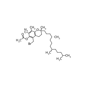 CC(=O)Oc1c(C)c(C)c2c(c1CBr)CC[C@@](C)(CCC[C@H](C)CCC[C@H](C)CCCC(C)C)O2